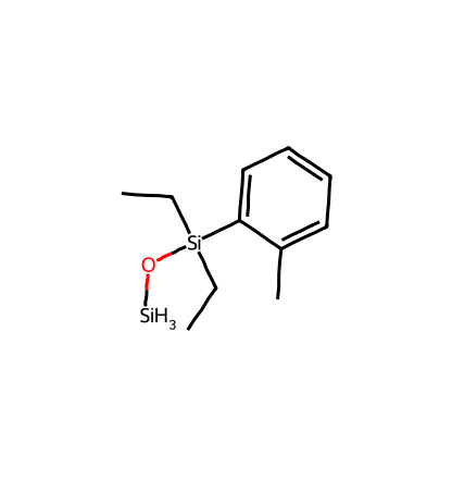 CC[Si](CC)(O[SiH3])c1ccccc1C